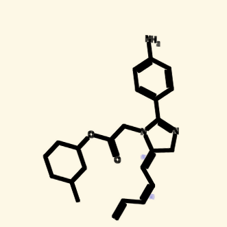 C=C/C=C\C=C1/CN=C(c2ccc(N)cc2)N1CC(=O)OC1CCCC(C)C1